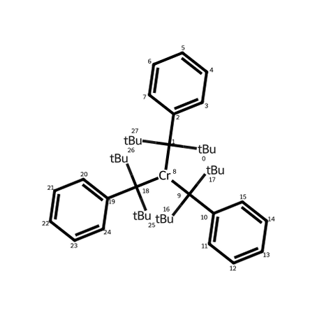 CC(C)(C)[C](c1ccccc1)([Cr]([C](c1ccccc1)(C(C)(C)C)C(C)(C)C)[C](c1ccccc1)(C(C)(C)C)C(C)(C)C)C(C)(C)C